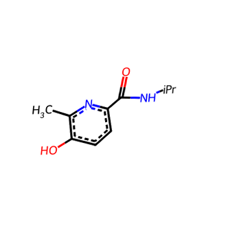 Cc1nc(C(=O)NC(C)C)ccc1O